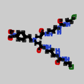 O=C(CCN(CCC(=O)NCCCNC(=O)NCCCl)CCc1ccc([N+](=O)[O-])cc1)NCCCNC(=O)NCCCl